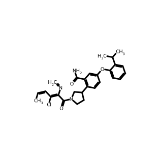 C=N/C(C(=O)N1CCC(c2ccc(Oc3ccccc3C(C)C)cc2C(N)=O)C1)=C(Cl)\C=C/C